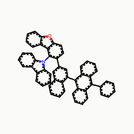 c1ccc(-c2c3ccccc3c(-c3cc(-c4ccc5oc6ccccc6c5c4-n4c5ccccc5c5ccccc54)cc4ccccc34)c3ccccc23)cc1